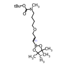 CN(CCCCOC/C=C/B1OC(C)(C)C(C)(C)O1)C(=O)OC(C)(C)C